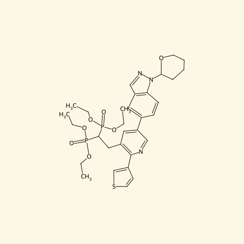 CCOP(=O)(OCC)C(Cc1cc(-c2ccc3c(cnn3C3CCCCO3)c2)cnc1-c1ccsc1)P(=O)(OCC)OCC